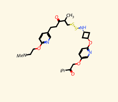 CNCCOc1ccc(CCC(=O)C(C)CSSN[C@H]2C[C@H](Oc3ccc(OCC(=O)C(C)C)cn3)C2)cn1